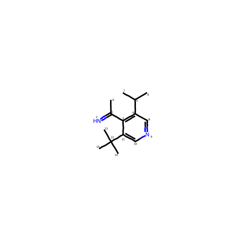 CC(=N)c1c(C(C)C)cncc1C(C)(C)C